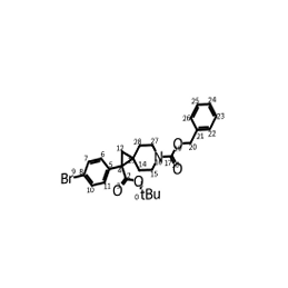 CC(C)(C)OC(=O)C1(c2ccc(Br)cc2)CC12CCN(C(=O)OCc1ccccc1)CC2